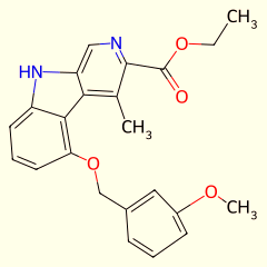 CCOC(=O)c1ncc2[nH]c3cccc(OCc4cccc(OC)c4)c3c2c1C